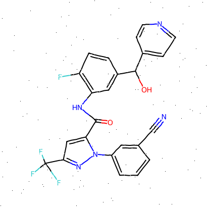 N#Cc1cccc(-n2nc(C(F)(F)F)cc2C(=O)Nc2cc(C(O)c3ccncc3)ccc2F)c1